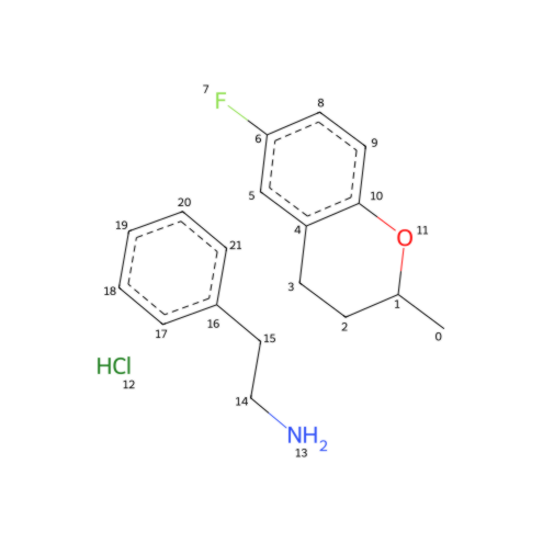 CC1CCc2cc(F)ccc2O1.Cl.NCCc1ccccc1